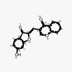 O=C1/C(=C/c2coc3ccccc3c2=O)Oc2cc(O)ccc21